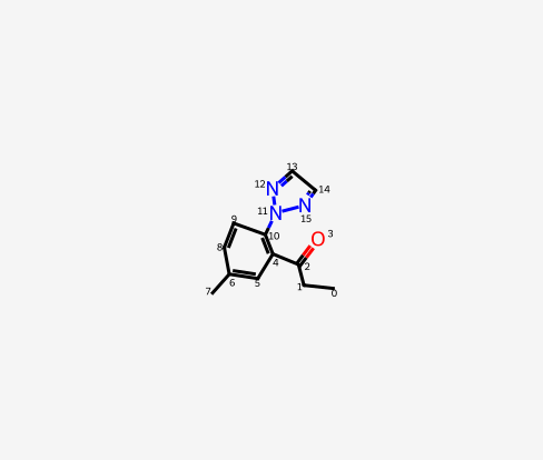 CCC(=O)c1cc(C)ccc1-n1nccn1